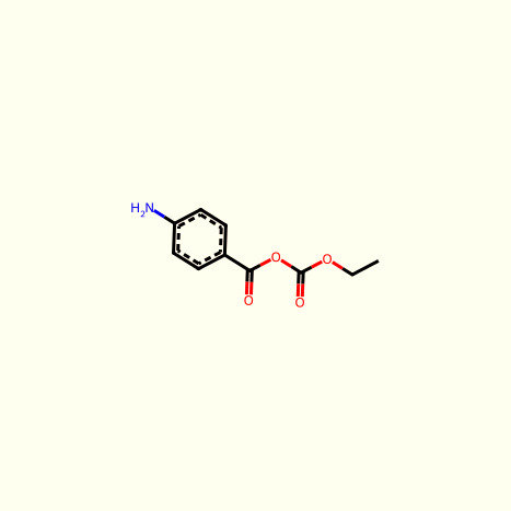 CCOC(=O)OC(=O)c1ccc(N)cc1